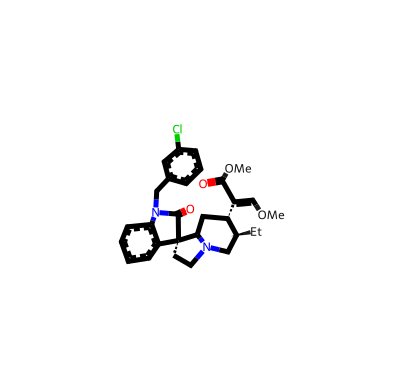 CC[C@H]1CN2CC[C@]3(C(=O)N(Cc4cccc(Cl)c4)c4ccccc43)C2C[C@@H]1/C(=C\OC)C(=O)OC